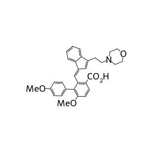 COc1ccc(-c2c(OC)ccc(C(=O)O)c2C=C2C=C(CCN3CCOCC3)c3ccccc32)cc1